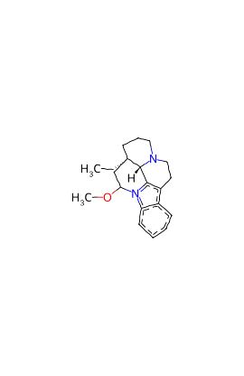 CC[C@@]12CCCN3CCc4c(n(c5ccccc45)C(OC)C1)[C@@H]32